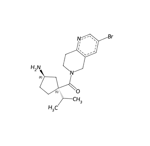 CC(C)[C@]1(C(=O)N2CCc3ncc(Br)cc3C2)CC[C@@H](N)C1